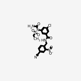 CCS(=O)(=O)N(C(N)=O)c1cc(Cl)cc(C(=O)NCc2ccc(C#N)cc2[N+](=O)[O-])c1